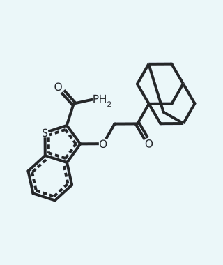 O=C(P)c1sc2ccccc2c1OCC(=O)C12CC3CC(CC(C3)C1)C2